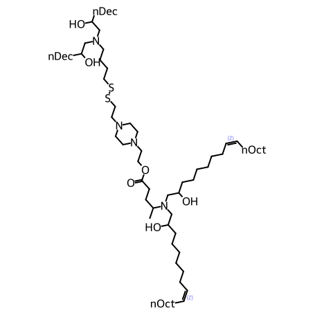 CCCCCCCC/C=C\CCCCCCC(O)CN(CC(O)CCCCCC/C=C\CCCCCCCC)C(C)CCC(=O)OCCN1CCN(CCSSCCCCN(CC(O)CCCCCCCCCC)CC(O)CCCCCCCCCC)CC1